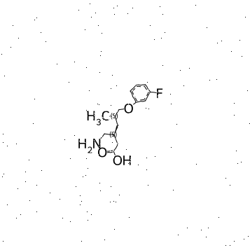 C[C@H](COc1cccc(F)c1)C[C@H](CN)CC(=O)O